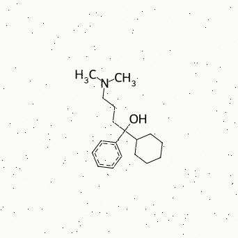 CN(C)CCCC(O)(c1ccccc1)C1CCCCC1